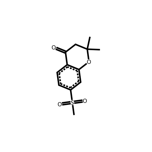 CC1(C)CC(=O)c2ccc(S(C)(=O)=O)cc2O1